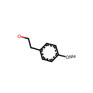 COc1ccc(CC[O])cc1